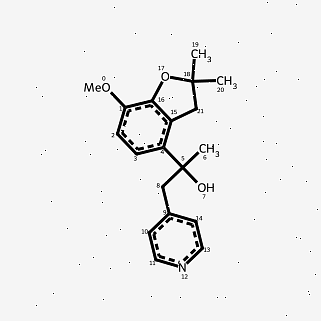 COc1ccc(C(C)(O)Cc2ccncc2)c2c1OC(C)(C)C2